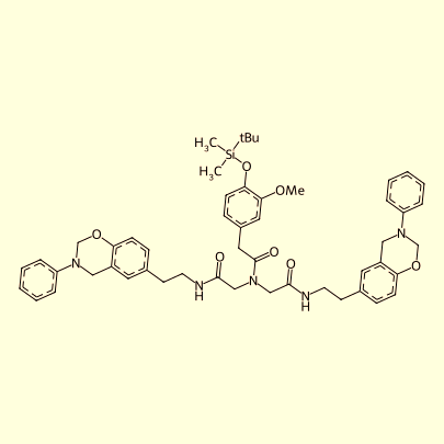 COc1cc(CC(=O)N(CC(=O)NCCc2ccc3c(c2)CN(c2ccccc2)CO3)CC(=O)NCCc2ccc3c(c2)CN(c2ccccc2)CO3)ccc1O[Si](C)(C)C(C)(C)C